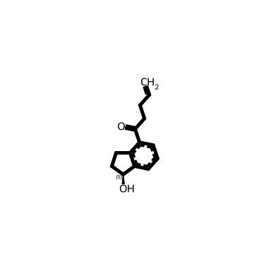 C=CCCC(=O)c1cccc2c1CC[C@@H]2O